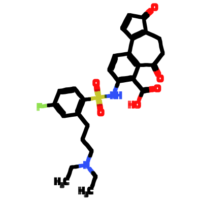 CCN(CC)CCCc1cc(F)ccc1S(=O)(=O)Nc1ccc2c(c1C(=O)O)C(=O)CCC1=C2C=CC1=O